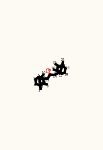 CC1C2(C)CCC(CC2)C1(C)CC(=O)CC1(C)C2CCC(C)(CC2)C1C